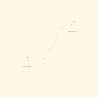 O=C(O)C1(C(=O)O)C=CC(C(CF)(C2=CC(C(=O)O)(C(=O)O)C(C(=O)O)(C(=O)O)C=C2)C(F)(F)F)=CC1(C(=O)O)C(=O)O